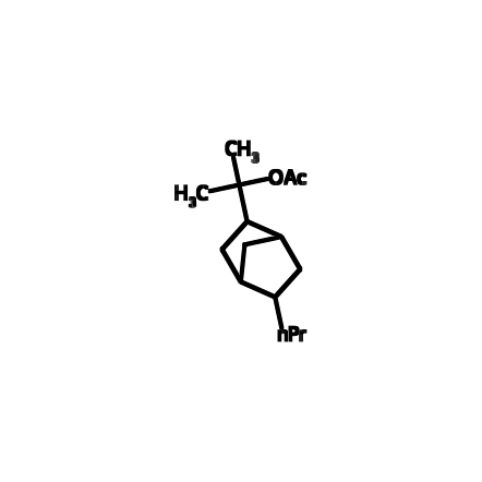 CCCC1CC2CC1CC2C(C)(C)OC(C)=O